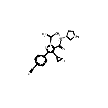 CC(C)n1nc(-c2ccc(C#N)cc2)c(C2CC2)c1C(=O)N[C@@H]1CCNC1.Cl